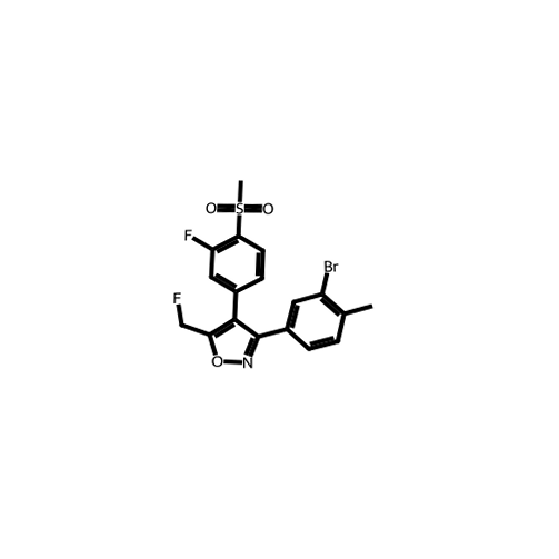 Cc1ccc(-c2noc(CF)c2-c2ccc(S(C)(=O)=O)c(F)c2)cc1Br